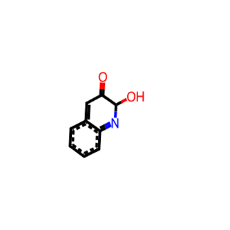 O=C1C=c2ccccc2=NC1O